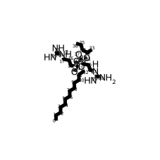 CCCCCCCCCCCC1CO[Si](CCCNC(=N)N)(O[Si]2(CCCNC(=N)N)OC(C)C(CC)O2)O1